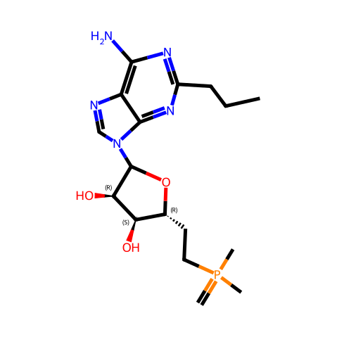 C=P(C)(C)CC[C@H]1OC(n2cnc3c(N)nc(CCC)nc32)[C@H](O)[C@@H]1O